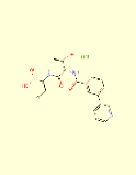 CC(C)C[C@H](NC(=O)[C@@H](NC(=O)c1cccc(-c2cccnc2)c1)[C@@H](C)O)B(O)O.Cl